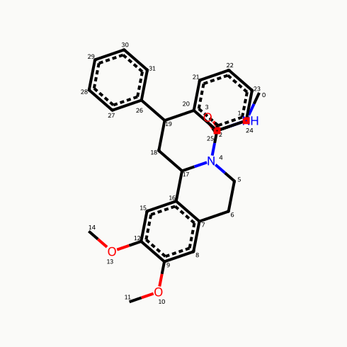 CNC(=O)N1CCc2cc(OC)c(OC)cc2C1CC(c1ccccc1)c1ccccc1